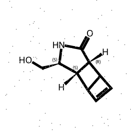 O=C1N[C@H](CO)[C@H]2C3C=CC3[C@@H]12